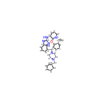 CC(C)(C)c1ccccc1Oc1ncccc1Nc1nc2cccc(CN3CCN(Cc4ccccc4)CC3)c2[nH]1